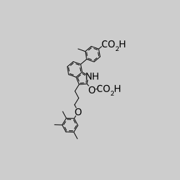 Cc1cc(C)c(C)c(OCCCc2c(OC(=O)O)[nH]c3c(-c4ccc(C(=O)O)cc4C)cccc23)c1